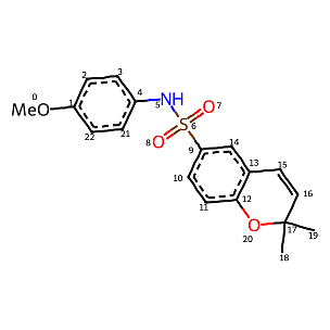 COc1ccc(NS(=O)(=O)c2ccc3c(c2)C=CC(C)(C)O3)cc1